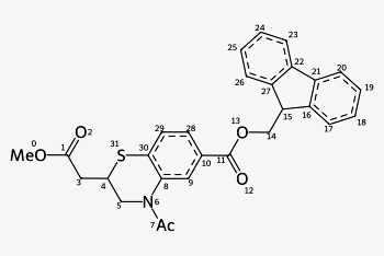 COC(=O)CC1CN(C(C)=O)c2cc(C(=O)OCC3c4ccccc4-c4ccccc43)ccc2S1